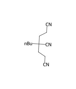 CCCCC(C#N)(CCC#N)CCC#N